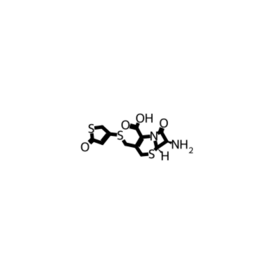 N[C@@H]1C(=O)N2C(C(=O)O)=C(CSC3=CC(=O)SC3)CS[C@H]12